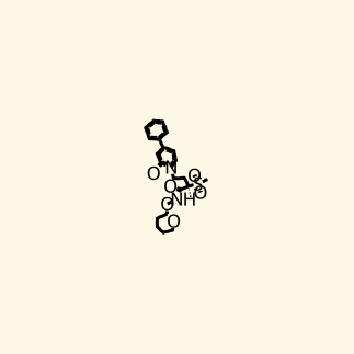 C[C@@](CCn1ccc(-c2ccccc2)cc1=O)(C(=O)NOC1CCCCO1)S(C)(=O)=O